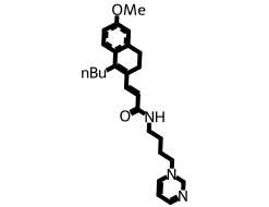 CCCCC1=C(C=CC(=O)NCCCCN2C=CC=NC2)CCc2cc(OC)ccc21